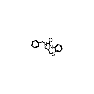 O=C1N(Cc2ccccc2)CC2CSc3ccccc3N12